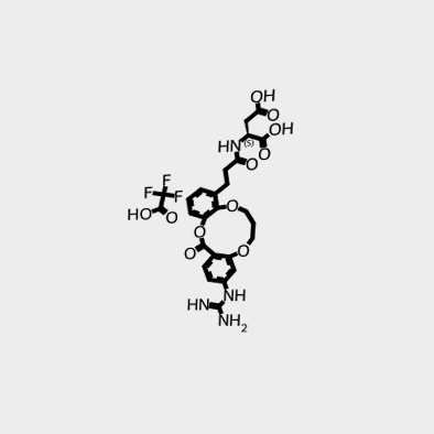 N=C(N)Nc1ccc2c(c1)OCCCOc1c(CCC(=O)N[C@@H](CC(=O)O)C(=O)O)cccc1OC2=O.O=C(O)C(F)(F)F